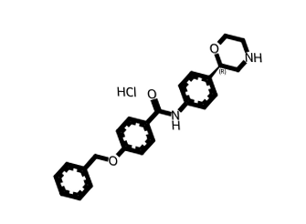 Cl.O=C(Nc1ccc([C@@H]2CNCCO2)cc1)c1ccc(OCc2ccccc2)cc1